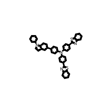 c1ccc(-n2ccc3cc(-c4ccc(N(c5ccc(-c6nc7ccccc7s6)cc5)c5ccc(-c6nc7ccccc7s6)cc5)cc4)ccc32)cc1